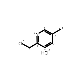 Cl.Fc1ccc(CCl)nc1